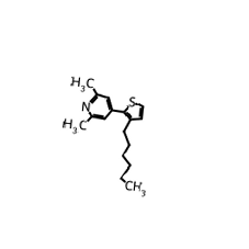 CCCCCCc1ccsc1-c1cc(C)nc(C)c1